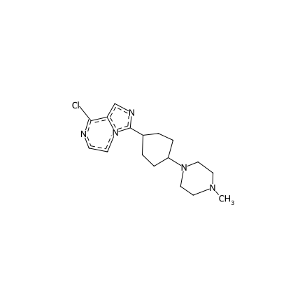 CN1CCN(C2CCC(c3ncc4c(Cl)nccn34)CC2)CC1